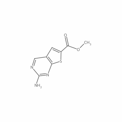 COC(=O)c1cc2cnc(N)nc2s1